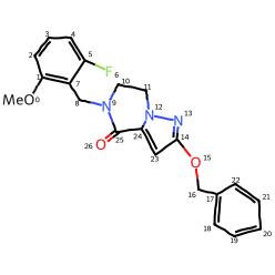 COc1cccc(F)c1CN1CCn2nc(OCc3ccccc3)cc2C1=O